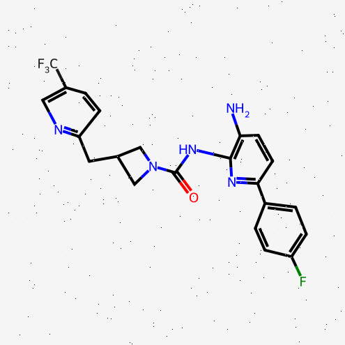 Nc1ccc(-c2ccc(F)cc2)nc1NC(=O)N1CC(Cc2ccc(C(F)(F)F)cn2)C1